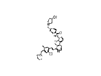 Cc1cc(/C=C/c2nccc(-c3cccc(NC(=O)c4ccc(CN5CC[C@@H](O)C5)cn4)c3Cl)c2C)c(Cl)cc1CN1CCCCC1